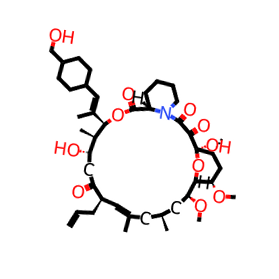 C=CC[C@@H]1/C=C(\C)C[C@H](C)C[C@H](OC)[C@H]2O[C@@](O)(C(=O)C(=O)N3CCCC[C@H]3C(=O)O[C@H](/C(C)=C/C3CCC(CO)CC3)[C@H](C)[C@@H](O)CC1=O)[C@H](C)C[C@@H]2OC